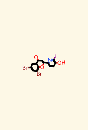 O=c1cc(-c2ccc(O)c(I)n2)oc2c(Br)cc(Br)cc12